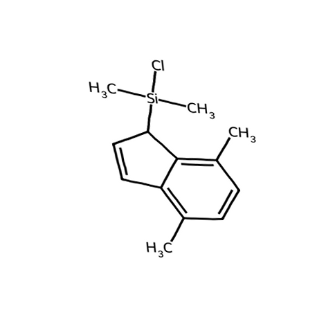 Cc1ccc(C)c2c1C=CC2[Si](C)(C)Cl